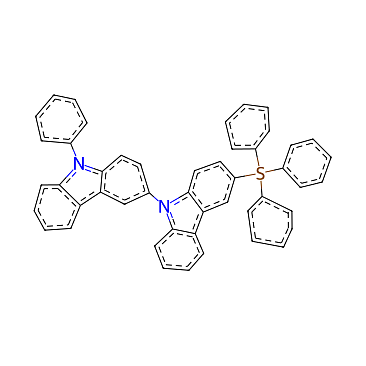 c1ccc(-n2c3ccccc3c3cc(-n4c5ccccc5c5cc(S(c6ccccc6)(c6ccccc6)c6ccccc6)ccc54)ccc32)cc1